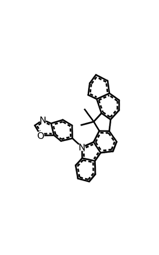 CC1(C)c2c(ccc3ccccc23)-c2ccc3c4ccccc4n(-c4ccc5ncoc5c4)c3c21